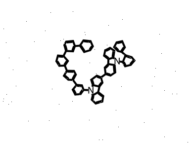 c1ccc(-c2cccc(-c3cccc(-c4ccc(-c5cccc(-n6c7ccccc7c7cc(-c8ccc9c(c8)c8ccccc8n9-c8ccccc8-c8ccccc8)ccc76)c5)cc4)c3)c2)cc1